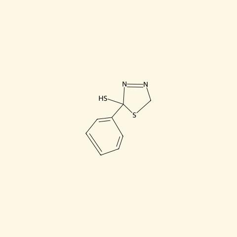 SC1(c2ccccc2)N=NCS1